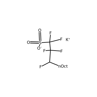 CCCCCCCCC(F)C(F)(F)C(F)(F)S(=O)(=O)[O-].[K+]